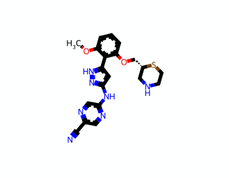 COc1cccc(OC[C@H]2CNCCS2)c1-c1cc(Nc2cnc(C#N)cn2)n[nH]1